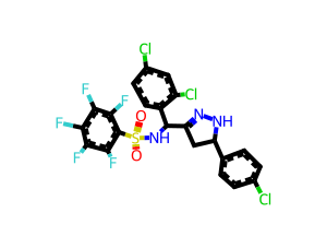 O=S(=O)(NC(C1=NNC(c2ccc(Cl)cc2)C1)c1ccc(Cl)cc1Cl)c1c(F)c(F)c(F)c(F)c1F